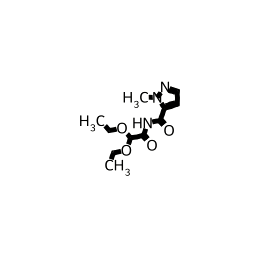 CCOC(OCC)C(=O)NC(=O)c1ccnn1C